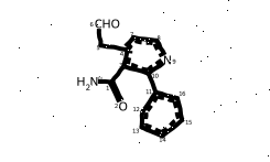 NC(=O)c1c(CC=O)ccnc1-c1ccccc1